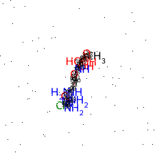 C[C@@H]1OC[C@H](C[C@@H](O)[C@H](O)[C@@H](O)CNCCOc2ccc(CCCCN/C(N)=N/C(=O)c3nc(Cl)c(N)nc3N)cc2)O1